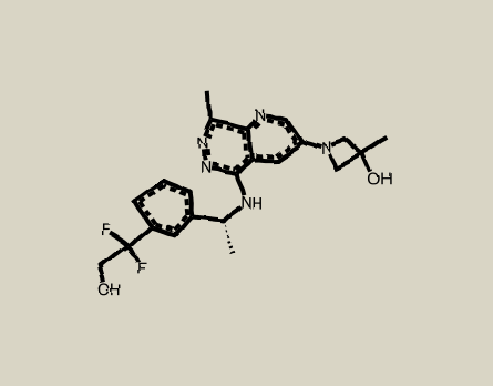 Cc1nnc(N[C@H](C)c2cccc(C(F)(F)CO)c2)c2cc(N3CC(C)(O)C3)cnc12